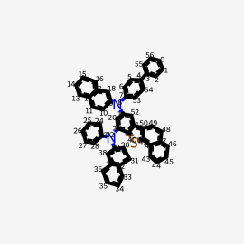 c1ccc(-c2ccc(N(c3ccc4ccccc4c3)c3cc(N(c4ccccc4)c4ccc5ccccc5c4)c4sc5c6ccccc6ccc5c4c3)cc2)cc1